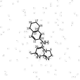 CC1=NC2=NCCN2C(Nc2ccc3c(c2)CCCC3)=C1